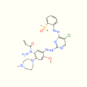 C=CC(=O)N(N)c1cc(N=Nc2ncc(Cl)c(N=Nc3ccccc3P(C)(C)=O)n2)c(OC)cc1N1CCCN(C)CC1